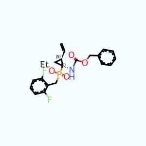 C=C[C@@H]1C[C@]1(NC(=O)OCc1ccccc1)P(=O)(Cc1c(F)cccc1F)OCC